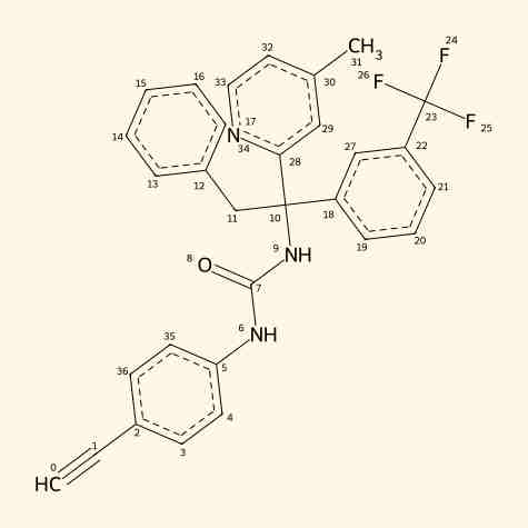 C#Cc1ccc(NC(=O)NC(Cc2ccccc2)(c2cccc(C(F)(F)F)c2)c2cc(C)ccn2)cc1